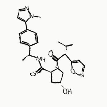 CC(C)[C@@H](C(=O)N1C[C@H](O)C[C@H]1C(=O)N[C@@H](C)c1ccc(-c2ccnn2C)cc1)c1ccno1